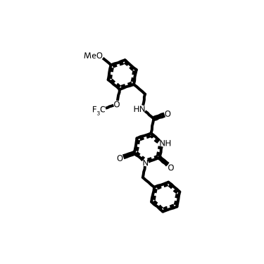 COc1ccc(CNC(=O)c2cc(=O)n(Cc3ccccc3)c(=O)[nH]2)c(OC(F)(F)F)c1